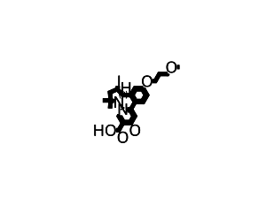 COCCCOc1ccc2c(c1)[C@@H]1C(I)CC(C)(C)N1n1cc(C(=O)O)c(=O)cc1-2